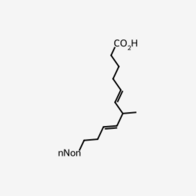 CCCCCCCCCCCC=CC(C)C=CCCCC(=O)O